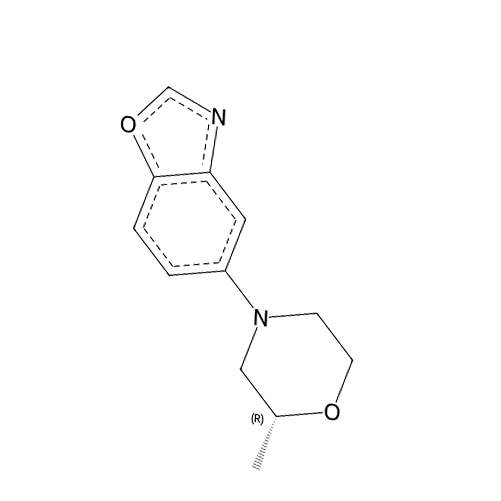 C[C@@H]1CN(c2ccc3ocnc3c2)CCO1